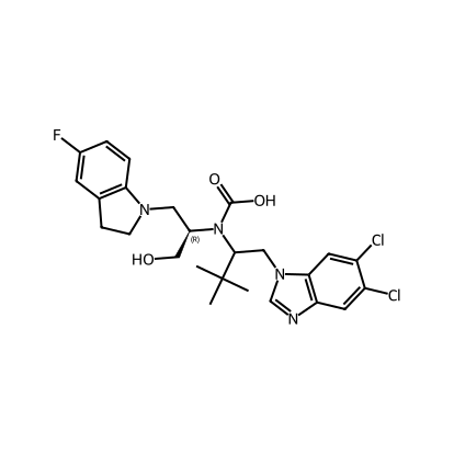 CC(C)(C)C(Cn1cnc2cc(Cl)c(Cl)cc21)N(C(=O)O)[C@@H](CO)CN1CCc2cc(F)ccc21